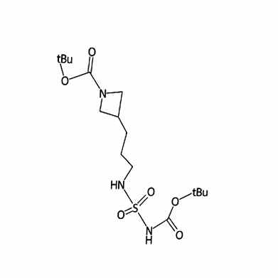 CC(C)(C)OC(=O)NS(=O)(=O)NCCCC1CN(C(=O)OC(C)(C)C)C1